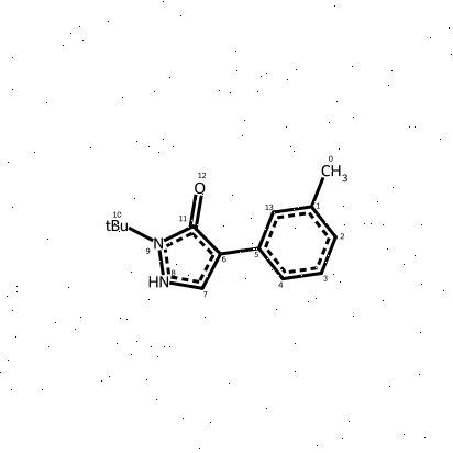 Cc1cccc(-c2c[nH]n(C(C)(C)C)c2=O)c1